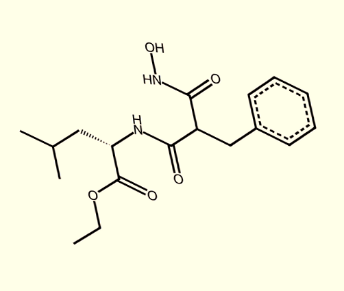 CCOC(=O)[C@H](CC(C)C)NC(=O)C(Cc1ccccc1)C(=O)NO